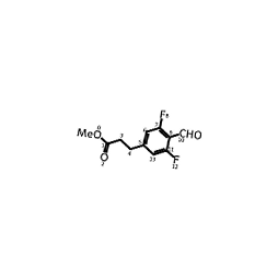 COC(=O)CCc1cc(F)c(C=O)c(F)c1